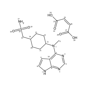 CN(c1ncnc2[nH]ccc12)C1CCC(CS(N)(=O)=O)CC1.O=C(O)/C=C\C(=O)O